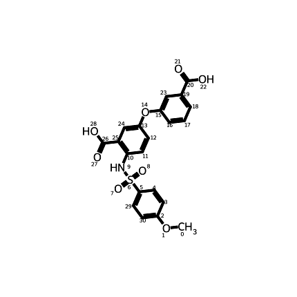 COc1ccc(S(=O)(=O)Nc2ccc(Oc3cccc(C(=O)O)c3)cc2C(=O)O)cc1